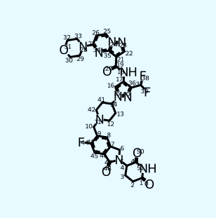 O=C1CCC(N2Cc3cc(CN4CCC(n5cc(NC(=O)c6cnn7ccc(N8CCOCC8)nc67)c(C(F)F)n5)CC4)c(F)cc3C2=O)C(=O)N1